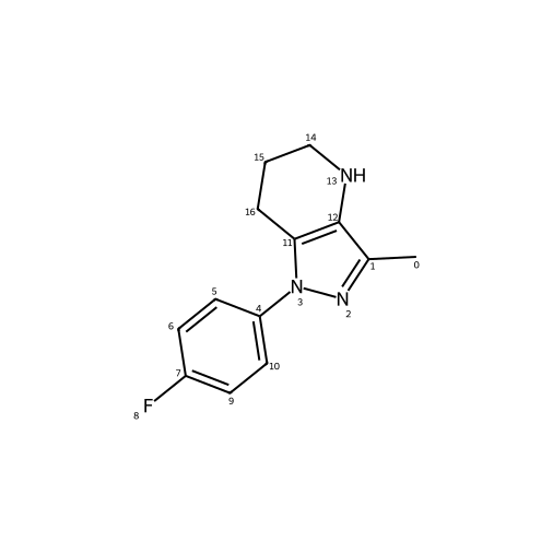 Cc1nn(-c2ccc(F)cc2)c2c1NCCC2